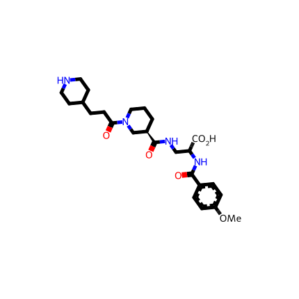 COc1ccc(C(=O)NC(CNC(=O)[C@@H]2CCCN(C(=O)CCC3CCNCC3)C2)C(=O)O)cc1